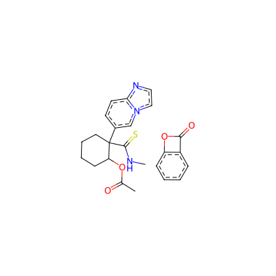 CNC(=S)C1(c2ccc3nccn3c2)CCCCC1OC(C)=O.O=C1Oc2ccccc21